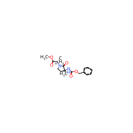 COC(=O)[C@H](C)N1CC[C@@](C)(NC(=O)OCc2ccccc2)C1=O